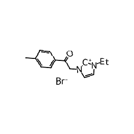 CCN1[C+]N(CC(=O)c2ccc(C)cc2)C=C1.[Br-]